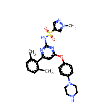 Cc1cccc(C)c1-c1cc(Oc2ccc(N3CCNCC3)cc2)nc(NS(=O)(=O)c2cnn(C)c2)n1